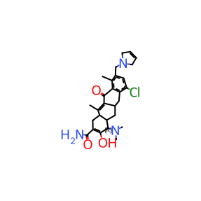 CC1=C2C(=O)c3c(C)c(CN4CC=CC4)cc(Cl)c3CC2CC2C1CC(C(N)=O)=C(O)[C@@H]2N(C)C